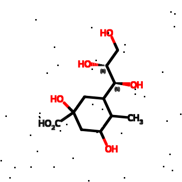 CC1C(O)CC(O)(C(=O)O)CC1[C@H](O)[C@H](O)CO